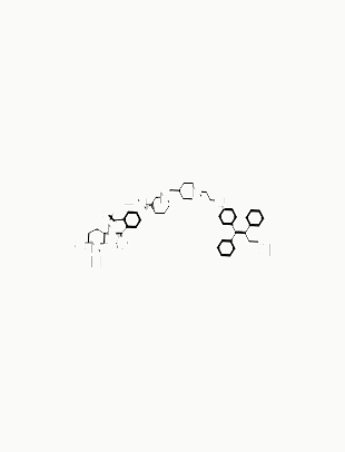 O=C1CCC(N2C(=O)c3ccc(N[C@@H]4CCCN(CC5CCN(CCOc6ccc(C(=C(CCCl)c7ccccc7)c7ccccc7)cc6)CC5)C4)cc3C2=O)C(=O)N1